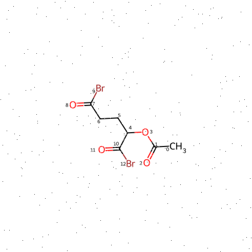 CC(=O)OC(CCC(=O)Br)C(=O)Br